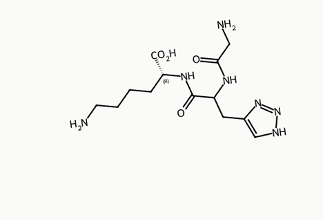 NCCCC[C@@H](NC(=O)C(Cc1c[nH]nn1)NC(=O)CN)C(=O)O